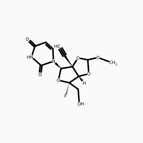 C#C[C@@]12OC(OC)O[C@@H]1[C@@](F)(CO)O[C@H]2n1ccc(=O)[nH]c1=O